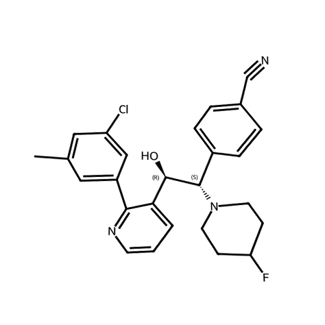 Cc1cc(Cl)cc(-c2ncccc2[C@@H](O)[C@H](c2ccc(C#N)cc2)N2CCC(F)CC2)c1